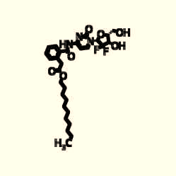 CCCCCCCCCCCOC(=O)Cc1ccccc1C(=O)Nc1ccn([C@@H]2O[C@H](CO)[C@@H](O)C2(F)F)c(=O)n1